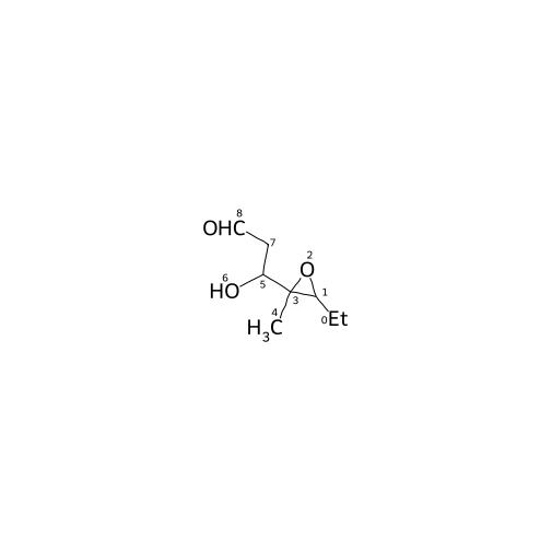 CCC1OC1(C)C(O)CC=O